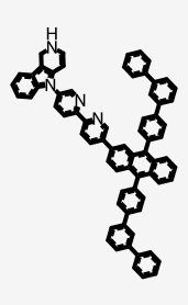 C1=Cc2c(c3ccccc3n2-c2ccc(-c3ccc(-c4ccc5c(-c6ccc(-c7cccc(-c8ccccc8)c7)cc6)c6ccccc6c(-c6ccc(-c7cccc(-c8ccccc8)c7)cc6)c5c4)cn3)nc2)CN1